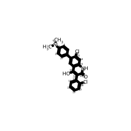 CN(C)c1ccc(-c2cc3c(O)c(-c4ccccc4Cl)c(=O)[nH]c3cc2Cl)cc1